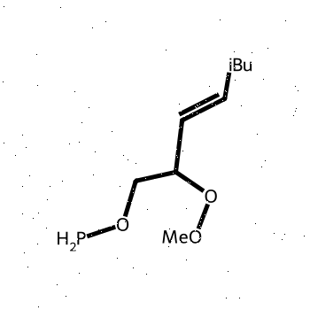 CCC(C)/C=C/C(COP)OOC